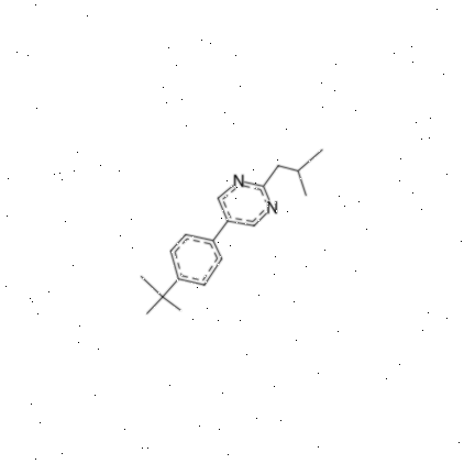 CC(C)Cc1ncc(-c2ccc(C(C)(C)C)cc2)cn1